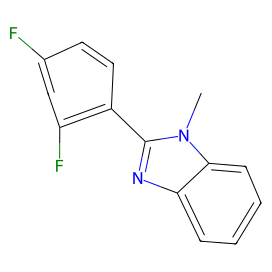 Cn1c(-c2ccc(F)cc2F)nc2ccccc21